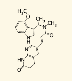 COc1cccc2[nH]cc(C(C)N(C)C(=O)/C=C/c3cnc4c(c3)CCC(=O)N4)c12